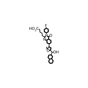 O=C(O)CCCCc1nc2cc(-c3cc(C(O)c4ccc5ccccc5c4)on3)ccc2c(=O)n1-c1ccc(F)cc1